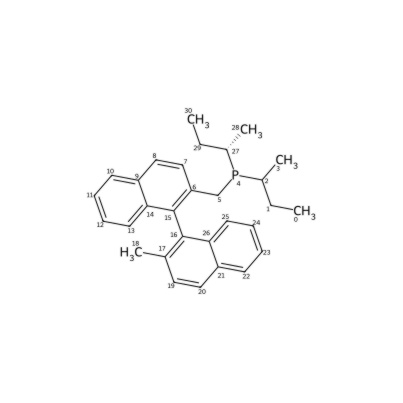 CCC(C)P(Cc1ccc2ccccc2c1-c1c(C)ccc2ccccc12)[C@@H](C)CC